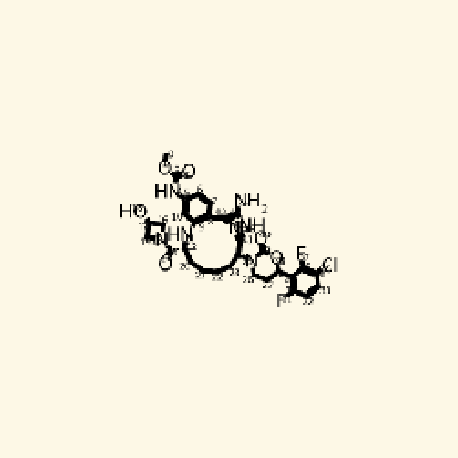 COC(=O)Nc1ccc2c(c1)N[C@@H](C(=O)N1CC(O)C1)CCCC[C@H](N1CCC(c3c(F)ccc(Cl)c3F)OC1=O)c1nc-2c(N)[nH]1